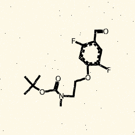 CN(CCOc1cc(F)c(C=O)cc1F)C(=O)OC(C)(C)C